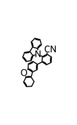 N#Cc1cccc(-c2ccc3oc4c(c3c2)CCC=C4)c1-n1c2ccccc2c2ccccc21